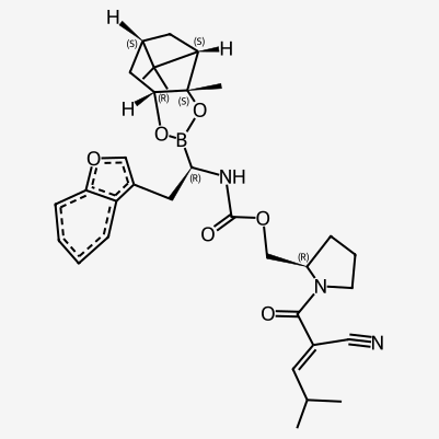 CC(C)C=C(C#N)C(=O)N1CCC[C@@H]1COC(=O)N[C@@H](Cc1coc2ccccc12)B1O[C@@H]2C[C@@H]3C[C@@H](C3(C)C)[C@]2(C)O1